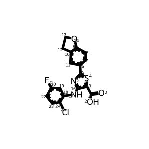 O=C(O)c1sc(-c2ccc3c(c2)CCO3)nc1Nc1cc(F)ccc1Cl